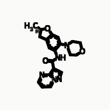 C[C@@H]1Cc2cc(NC(=O)c3cnn4cccnc34)c(N3CCOCC3)cc2O1